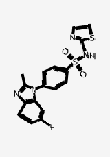 Cc1nc2ccc(F)cc2n1-c1ccc(S(=O)(=O)Nc2nccs2)cc1